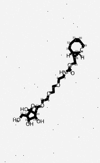 O=C(NCCOCCOCCOC1OC2(O)C(CO)C(O)C(O)C12)OCC1[C@H]2CCC#CCC[C@@H]12